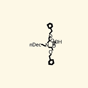 CCCCCCCCCCCCN1CC(COCCc2ccccc2)OB(O)OC(COCCc2ccccc2)C1